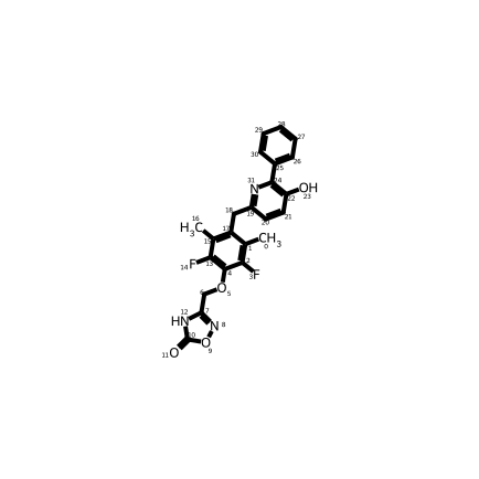 Cc1c(F)c(OCc2noc(=O)[nH]2)c(F)c(C)c1Cc1ccc(O)c(-c2ccccc2)n1